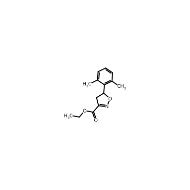 CCOC(=O)C1=NOC(c2c(C)cccc2C)C1